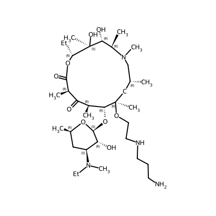 CC[C@H]1OC(=O)[C@H](C)C(=O)[C@H](C)[C@@H](O[C@@H]2O[C@H](C)C[C@H](N(C)CC)[C@H]2O)[C@](C)(OCCNCCCN)C[C@@H](C)CN(C)[C@H](C)[C@@H](O)[C@]1(C)O